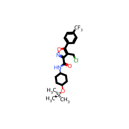 C[Si](C)(C)O[C@H]1CC[C@@H](NC(=O)c2noc(-c3ccc(C(F)(F)F)cc3)c2CCl)CC1